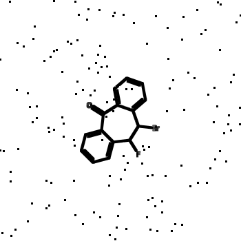 O=C1c2ccccc2C(F)C(Br)c2ccccc21